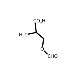 CC(COC=O)C(=O)O